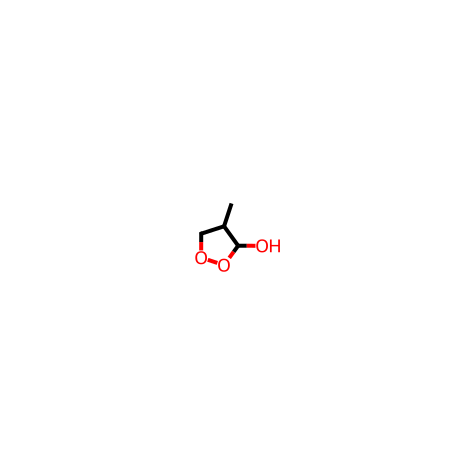 CC1COOC1O